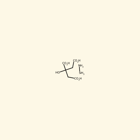 N[SiH3].O=C(O)CC(O)(CC(=O)O)C(=O)O